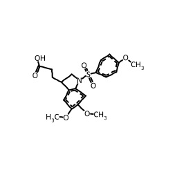 COc1ccc(S(=O)(=O)N2CC(CCC(=O)O)c3cc(OC)c(OC)cc32)cc1